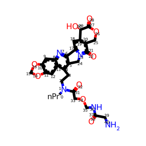 CCCN(CCc1c2c(nc3cc4c(cc13)OCO4)-c1cc3c(c(=O)n1C2)COC(=O)[C@H]3O)C(=O)COCNC(=O)CN